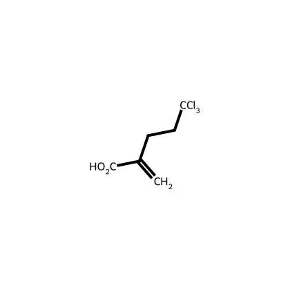 C=C(CCC(Cl)(Cl)Cl)C(=O)O